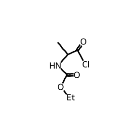 CCOC(=O)NC(C)C(=O)Cl